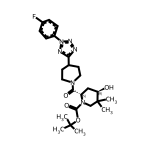 CC(C)(C)OC(=O)N1CC(C)(C)[C@H](O)C[C@H]1C(=O)N1CCC(c2nnn(-c3ccc(F)cc3)n2)CC1